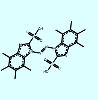 Cc1c(C)c(C)c2c(nc(S(=O)(=O)O)n2N=Nn2c(S(=O)(=O)O)nc3c(C)c(C)c(C)c(C)c32)c1C